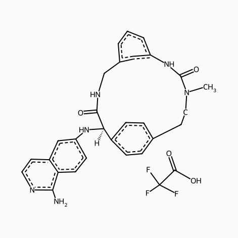 CN1CCc2ccc(cc2)[C@@H](Nc2ccc3c(N)nccc3c2)C(=O)NCc2cccc(c2)NC1=O.O=C(O)C(F)(F)F